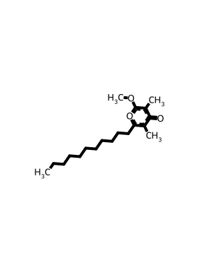 CCCCCCCCCCCc1oc(OC)c(C)c(=O)c1C